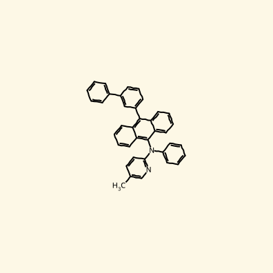 Cc1ccc(N(c2ccccc2)c2c3ccccc3c(-c3cccc(-c4ccccc4)c3)c3ccccc23)nc1